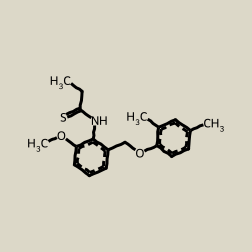 CCC(=S)Nc1c(COc2ccc(C)cc2C)cccc1OC